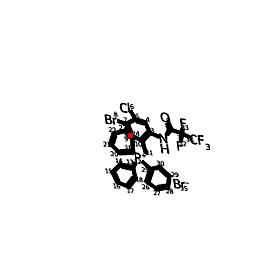 O=C(Nc1cc(Cl)c(Br)cc1C[P+](c1ccccc1)(c1ccccc1)c1ccccc1)C(F)(F)C(F)(F)F.[Br-]